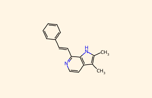 Cc1[nH]c2c(C=Cc3ccccc3)nccc2c1C